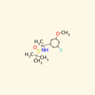 COc1cc(F)cc([C@@H](C)N[S+]([O-])C(C)(C)C)c1